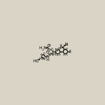 C#Cc1nc(NC(=O)NC(COC(N)=O)c2ccc(-c3ccc(F)cc3C3(C#N)CC3)cn2)cs1